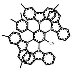 Cc1ccc2c(c1)c1cc(C)ccc1n2-c1c(-c2ccc(C)c(C)c2)c(-n2c3ccc(C)cc3c3cc(C)ccc32)c(-n2c3ccccc3c3ccccc32)c(C#N)c1-n1c2ccccc2c2ccccc21